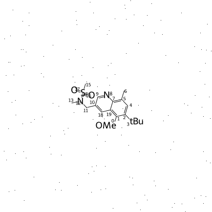 COc1c(C(C)(C)C)cc(C)c2ncc(CN(C)S(C)(=O)=O)cc12